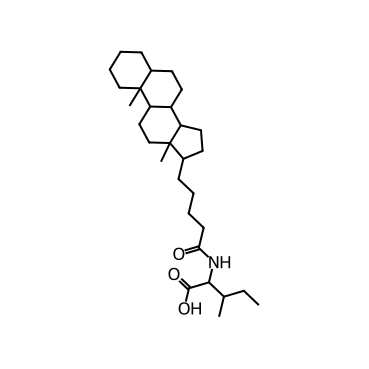 CCC(C)C(NC(=O)CCCCC1CCC2C3CCC4CCCCC4(C)C3CCC12C)C(=O)O